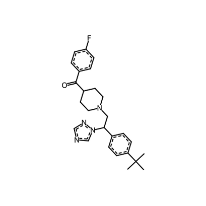 CC(C)(C)c1ccc(C(CN2CCC(C(=O)c3ccc(F)cc3)CC2)n2cncn2)cc1